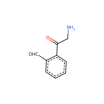 NCC(=O)c1ccccc1C=O